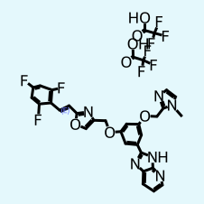 Cn1ccnc1COc1cc(OCc2coc(/C=C/c3c(F)cc(F)cc3F)n2)cc(-c2nc3cccnc3[nH]2)c1.O=C(O)C(F)(F)F.O=C(O)C(F)(F)F